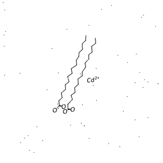 CCCCCCCCCCCCCCCCCC(=O)[O-].CCCCCCCCCCCCCCCCCC(=O)[O-].[Cd+2]